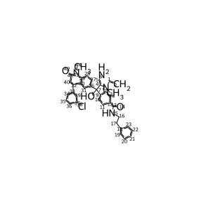 C=CN(C)/C(=C\N)C(O)(c1ccc(C(=O)NCCc2ccccc2)cc1)c1ccc2c(c1)c(-c1cccc(Cl)c1)cc(=O)n2C